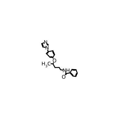 CC(CCCNC(=O)c1ccccc1)Oc1ccc(-n2ccnc2)cc1